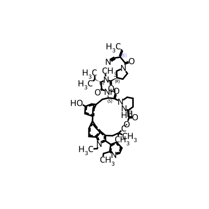 C/C=C(\C#N)C(=O)N1CC[C@@H](C(=O)N(C)[C@H](C(=O)N[C@H]2Cc3cc(O)cc(c3)-c3ccc4c(c3)c(c(-c3cccnc3CC)n4CC)CC(C)(C)COC(=O)[C@@H]3CCCN(N3)C2=O)C(C)C)C1